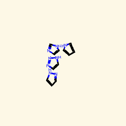 c1c[nH]cn1.c1c[nH]nn1.c1cc[nH]c1.c1cn[nH]c1